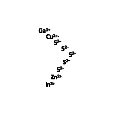 [Cu+2].[Ga+3].[In+3].[S-2].[S-2].[S-2].[S-2].[S-2].[Zn+2]